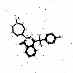 [2H]C([2H])(c1ccc(Cl)cc1)c1nn(C2CCCN(C)CC2)c(=O)c2ccccc12